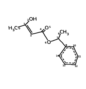 CC(O)=CC(=O)OC(C)c1ccccc1